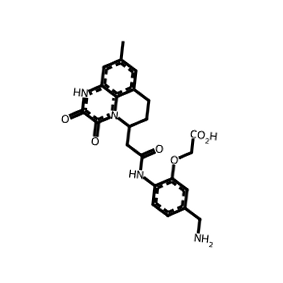 Cc1cc2c3c(c1)[nH]c(=O)c(=O)n3C(CC(=O)Nc1ccc(CN)cc1OCC(=O)O)CC2